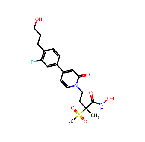 C[C@@](CCn1ccc(-c2ccc(CCCO)c(F)c2)cc1=O)(C(=O)NO)S(C)(=O)=O